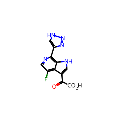 O=C(O)C(=O)c1c[nH]c2c(-c3c[nH]nn3)ncc(F)c12